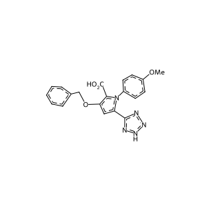 COc1ccc(-n2c(-c3nn[nH]n3)cc(OCc3ccccc3)c2C(=O)O)cc1